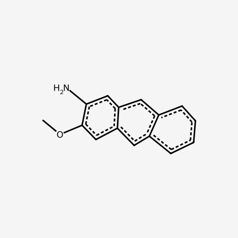 COc1cc2cc3ccccc3cc2cc1N